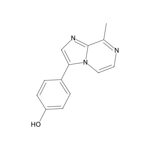 Cc1nccn2c(-c3ccc(O)cc3)cnc12